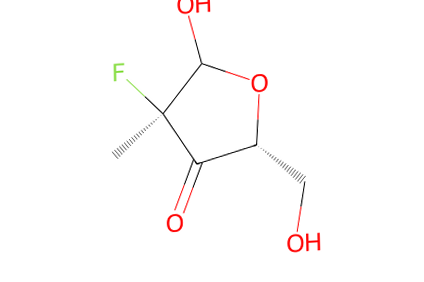 C[C@@]1(F)C(=O)[C@@H](CO)OC1O